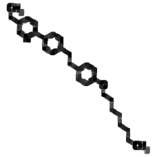 CCCCCCCCOc1ccc(CCc2ccc(-c3ccc(CC)cn3)cc2)cc1